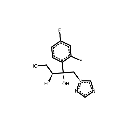 CC[C@@H](CO)[C@](O)(Cn1cncn1)c1ccc(F)cc1F